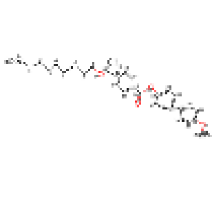 CCCCCCCCCCCCCCCCCCOC(C)c1ccc(C(=O)Oc2ccc(-c3ccc(OCCCC)cc3)cc2)cc1